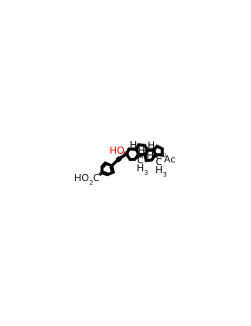 CC(=O)[C@H]1CC[C@H]2[C@@H]3CC[C@H]4C[C@@](O)(C#Cc5ccc(C(=O)O)cc5)CC[C@]4(C)[C@H]3CC[C@]12C